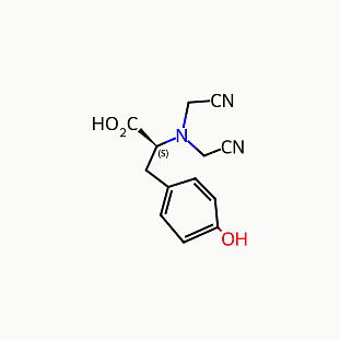 N#CCN(CC#N)[C@@H](Cc1ccc(O)cc1)C(=O)O